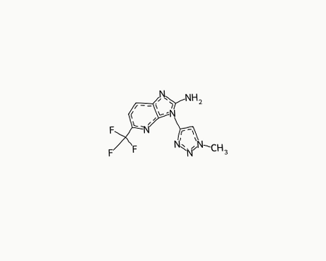 Cn1cc(-n2c(N)nc3ccc(C(F)(F)F)nc32)nn1